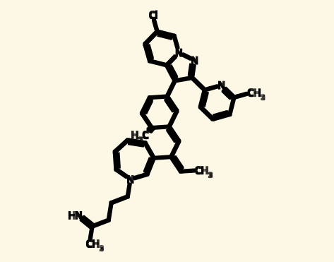 C=c1ccc(-c2c(-c3cccc(C)n3)nn3cc(Cl)ccc23)c/c1=C/C(=C\C)C1=CN(CCCC(C)=N)C=CC=C1